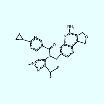 Cn1cc(N(Cc2ccc3c4c(c(N)nc3c2)COC4)C(=O)c2cnc(C3CC3)nc2)c(C(F)F)n1